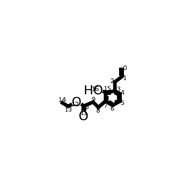 C=CCc1cccc(CCC(=O)OCC)c1O